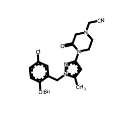 Cc1cc(N2CCN(CC#N)CC2=O)nn1Cc1cc(Cl)ccc1OCC(C)C